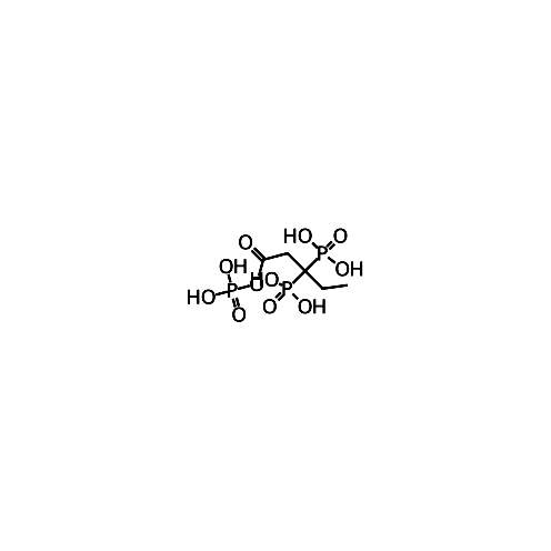 CCC(CC(=O)OP(=O)(O)O)(P(=O)(O)O)P(=O)(O)O